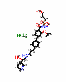 CC(C)Oc1cc(-c2ccc(CCCNCC(O)c3cccnc3)cc2)ccc1C(=O)NS(=O)(=O)CCCO.Cl.Cl